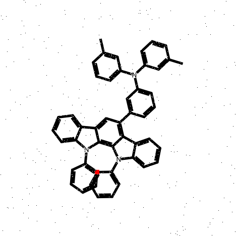 Cc1cccc(N(c2cccc(C)c2)c2cccc(-c3cc4c5ccccc5n(-c5ccccc5)c4c4c3c3ccccc3n4-c3ccccc3)c2)c1